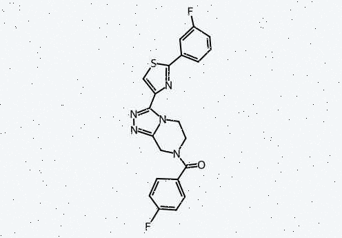 O=C(c1ccc(F)cc1)N1CCn2c(nnc2-c2csc(-c3cccc(F)c3)n2)C1